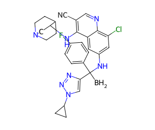 BC(Nc1cc(Cl)c2ncc(C#N)c(NC3CN4CCC3CC4)c2c1)(c1ccc(F)cc1)c1cn(C2CC2)nn1